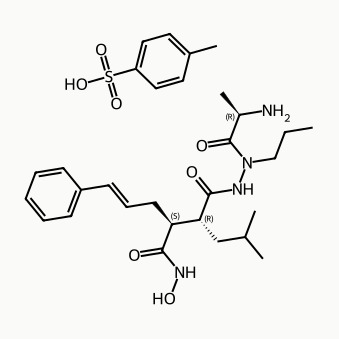 CCCN(NC(=O)[C@H](CC(C)C)[C@H](CC=Cc1ccccc1)C(=O)NO)C(=O)[C@@H](C)N.Cc1ccc(S(=O)(=O)O)cc1